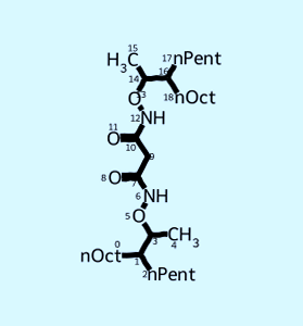 CCCCCCCCC(CCCCC)C(C)ONC(=O)CC(=O)NOC(C)C(CCCCC)CCCCCCCC